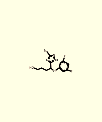 OCCCC(Oc1cc(F)cc(F)c1)c1nc(Br)n[nH]1